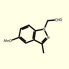 COc1ccc2c(c1)c(C)nn2CC=O